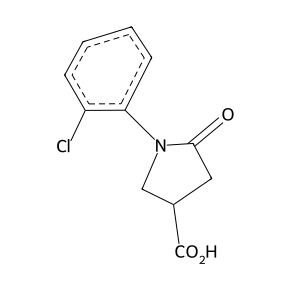 O=C(O)C1CC(=O)N(c2ccccc2Cl)C1